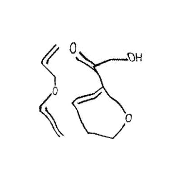 C=COC=C.O=C(O)C1=CCCO1